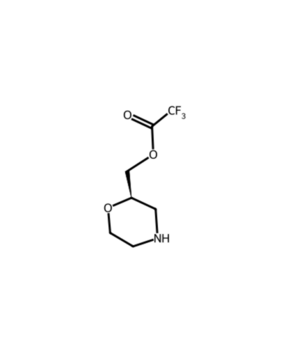 O=C(OC[C@H]1CNCCO1)C(F)(F)F